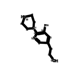 OCCc1cnc(N2CCNCC2)c(F)c1